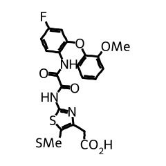 COc1ccccc1Oc1cc(F)ccc1NC(=O)C(=O)Nc1nc(CC(=O)O)c(SC)s1